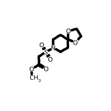 COC(=O)CS(=O)(=O)N1CCC2(CC1)OCCO2